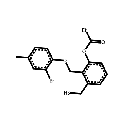 CCC(=O)Oc1cccc(CS)c1COc1ccc(C)cc1Br